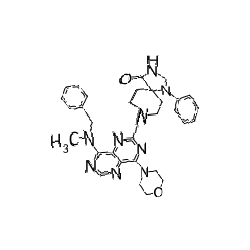 CN(Cc1ccccc1)c1ncnc2c(N3CCOCC3)nc(N3CCC4(CC3)C(=O)NCN4c3ccccc3)nc12